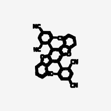 N#Cc1cc(C#N)c(-c2c3oc4ccccc4c3c(-c3c(C#N)cc(C#N)cc3C#N)c3oc4ccccc4c23)c(C#N)c1